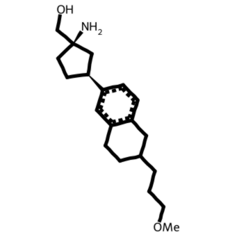 COCCCC1CCc2cc([C@H]3CC[C@](N)(CO)C3)ccc2C1